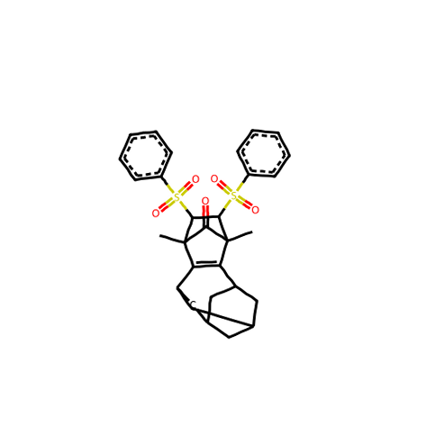 CC12C(=O)C(C)(C3=C1C1CC4CC(C1)CC3C4)C(S(=O)(=O)c1ccccc1)C2S(=O)(=O)c1ccccc1